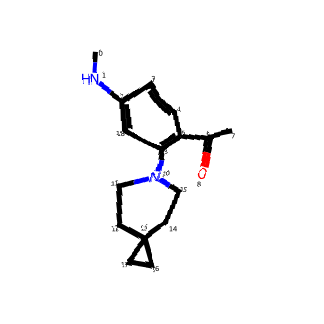 CNc1ccc(C(C)=O)c(N2CCC3(CC2)CC3)c1